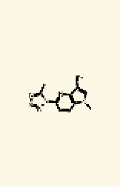 Cc1nnnn1-c1ccc2c(n1)c(C(C)C)cn2C